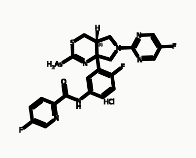 Cl.O=C(Nc1ccc(F)c(C23CN(c4ncc(F)cn4)C[C@H]2CSC([AsH2])=N3)c1)c1ccc(F)cn1